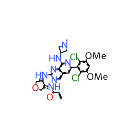 C=CC(=O)N[C@H]1COC[C@H]1Nc1ncc2cc(-c3c(Cl)c(OC)cc(OC)c3Cl)nc(NC3CN(C)C3)c2n1